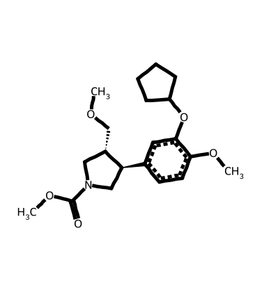 COC[C@H]1CN(C(=O)OC)C[C@@H]1c1ccc(OC)c(OC2CCCC2)c1